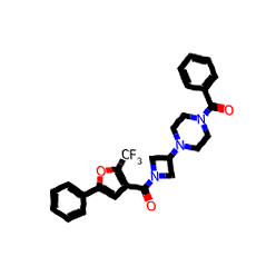 O=C(c1ccccc1)N1CCN(C2CN(C(=O)c3cc(-c4ccccc4)oc3C(F)(F)F)C2)CC1